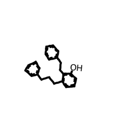 Oc1cccc(CCCc2ccccc2)c1CCc1ccccc1